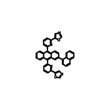 c1cc(-c2cnco2)nc(-c2c3ccccc3c(-c3cccc(-c4cnco4)n3)c3cc(-c4cccc5ccccc45)ccc23)c1